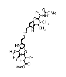 COC(=O)N[C@@H](C(=O)N(C)[C@@H](C)c1ncc(/C=C/OCCc2cnc([C@H](C)N(C)C(=O)[C@H](NC(=O)OC)C(C)C)[nH]2)[nH]1)C(C)C